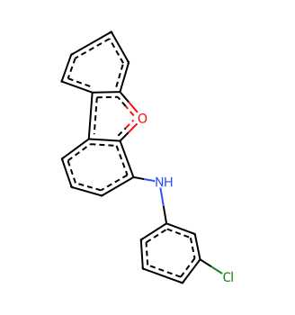 Clc1cccc(Nc2cccc3c2oc2ccccc23)c1